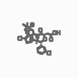 CCC(CS(=O)(=O)C(C)(C)C)N1C(=O)[C@@H](CC(=O)O)O[C@H](c2cccc(Cl)c2)[C@@]1(C)c1ccc(Cl)cc1